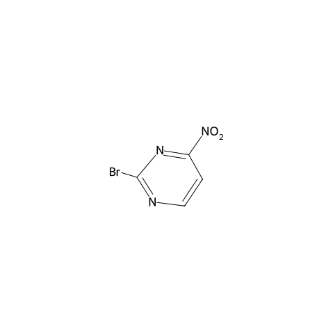 O=[N+]([O-])c1ccnc(Br)n1